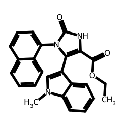 CCOC(=O)c1[nH]c(=O)n(-c2cccc3ccccc23)c1-c1cn(C)c2ccccc12